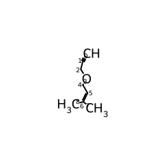 C#CCOCC=C(C)C